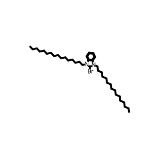 CCCCCCCCCCCCCCCCN1c2ccccc2N(CCCCCCCCCCCCCCCC)C1Br